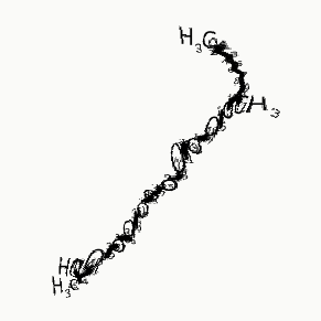 CCCCCCCCCCC(C)COCCOCCOCCOCCOCCOCCOCCOCCOCCOCC(O)CC